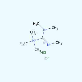 C/N=C(\N(C)C)[N+](C)(C)C.Cl.[Cl-]